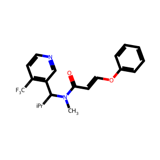 CC(C)C(c1cnccc1C(F)(F)F)N(C)C(=O)C=COc1ccccc1